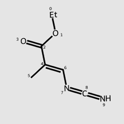 CCOC(=O)C(C)=CN=C=N